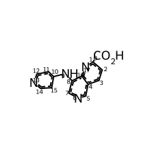 O=C(O)c1ccc2cncc(Nc3ccncc3)c2n1